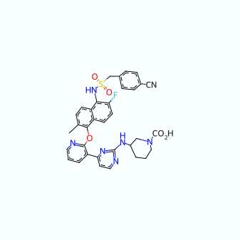 Cc1ccc2c(NS(=O)(=O)Cc3ccc(C#N)cc3)c(F)ccc2c1Oc1ncccc1-c1ccnc(NC2CCCN(C(=O)O)C2)n1